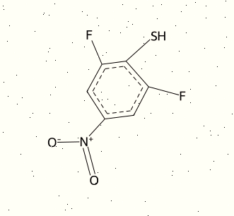 O=[N+]([O-])c1cc(F)c(S)c(F)c1